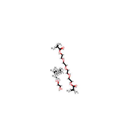 C=C.C=C.C=C.C=C.C=C.C=C(C)C(=O)OCCOCCOCCOCCOC(=O)C(=C)C.OCCO